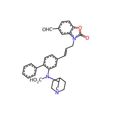 O=Cc1ccc2oc(=O)n(CC=Cc3ccc(-c4ccccc4)c(N(C(=O)O)C4CN5CCC4CC5)c3)c2c1